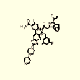 NC(=O)c1cc(-c2cc3sc(N4CCN(c5ccncc5)CC4)nc3nc2[C@H](Cc2cc(F)cc(F)c2)NC(=O)Cn2nc(C(F)F)c3c2C2CC(C3)C2)ccc1F